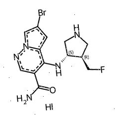 I.NC(=O)c1cnn2cc(Br)cc2c1N[C@@H]1CNC[C@H]1CF